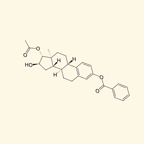 CC(=O)O[C@H]1[C@H](O)C[C@H]2[C@@H]3CCc4cc(OC(=O)c5ccccc5)ccc4[C@H]3CC[C@@]21C